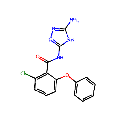 Nc1nnc(NC(=O)c2c(Cl)cccc2Oc2ccccc2)[nH]1